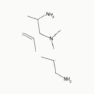 C=CC.CC(N)CN(C)C.C[CH]CN